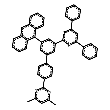 Cc1cc(C)nc(-c2ccc(-c3cc(-c4nc(-c5ccccc5)cc(-c5ccccc5)n4)cc(-c4c5ccccc5cc5ccccc45)c3)cc2)n1